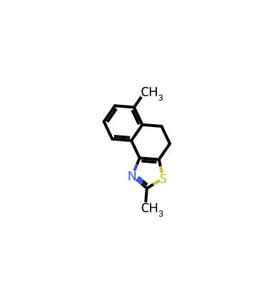 Cc1nc2c(s1)CCc1c(C)cccc1-2